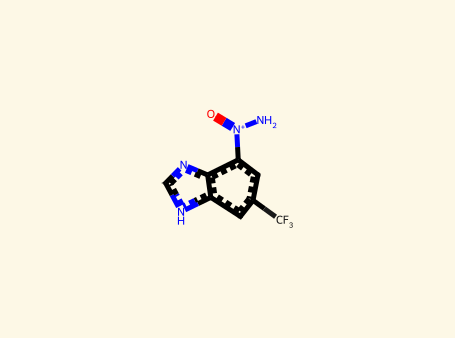 N[N+](=O)c1cc(C(F)(F)F)cc2[nH][c]nc12